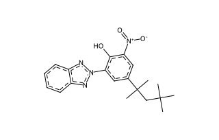 CC(C)(C)CC(C)(C)c1cc(-n2nc3ccccc3n2)c(O)c([N+](=O)[O-])c1